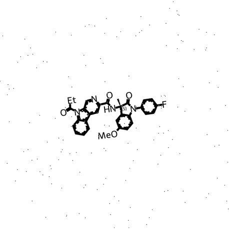 CCC(=O)n1c2ccccc2c2cc(C(=O)N[C@]3(C)C(=O)N(c4ccc(F)cc4)c4ccc(OC)cc43)ncc21